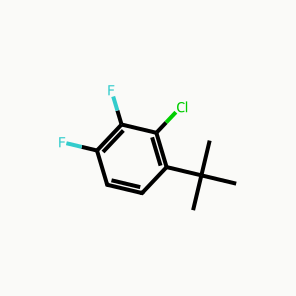 CC(C)(C)c1ccc(F)c(F)c1Cl